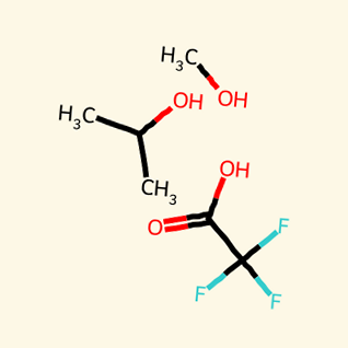 CC(C)O.CO.O=C(O)C(F)(F)F